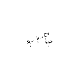 [C+4].[Se-2].[Se-2].[V+5]